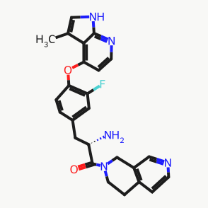 Cc1c[nH]c2nccc(Oc3ccc(C[C@H](N)C(=O)N4CCc5ccncc5C4)cc3F)c12